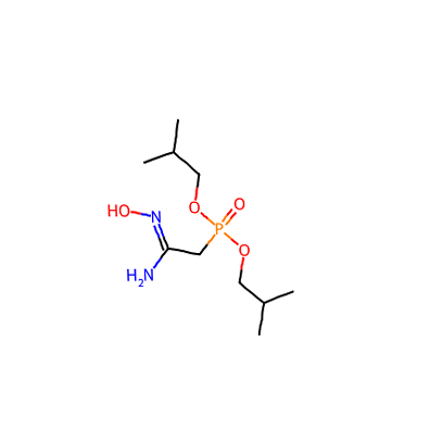 CC(C)COP(=O)(CC(N)=NO)OCC(C)C